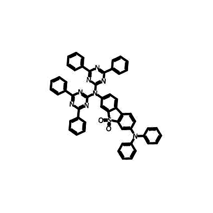 O=S1(=O)c2cc(N(c3ccccc3)c3ccccc3)ccc2-c2ccc(N(c3nc(-c4ccccc4)nc(-c4ccccc4)n3)c3nc(-c4ccccc4)nc(-c4ccccc4)n3)cc21